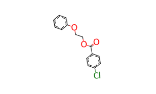 O=C(OCCOc1ccccc1)c1ccc(Cl)cc1